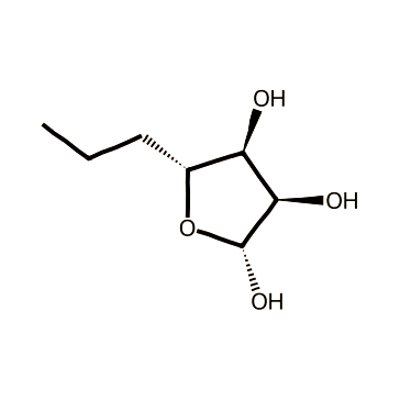 CCC[C@H]1O[C@@H](O)[C@H](O)[C@@H]1O